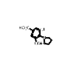 COc1cc(C(=O)O)ccc1N1CCCC1.Cl